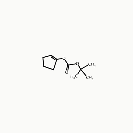 CC(C)(C)OC(=O)OC1=CCCC1